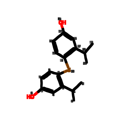 CC(C)c1cc(O)ccc1Sc1ccc(O)cc1C(C)C